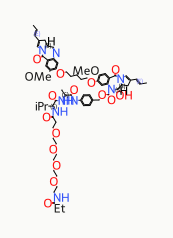 C/C=C/C1=CN2C(=O)c3cc(OC)c(OCCCCCOc4cc5c(cc4OC)C(=O)N4C=C(/C=C/C)C[C@H]4[C@H](O)N5C(=O)OCc4ccc(NC(=O)[C@H](C)NC(=O)[C@@H](NC(=O)CCOCCOCCOCCOCCNC(=O)CC)C(C)C)cc4)cc3N=C[C@@H]2C1